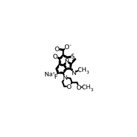 CN=c1c2c(N3CCOC(COC)C3)c(F)cc3c(=O)c(C(=O)[O-])c4scc1n4c32.[Na+]